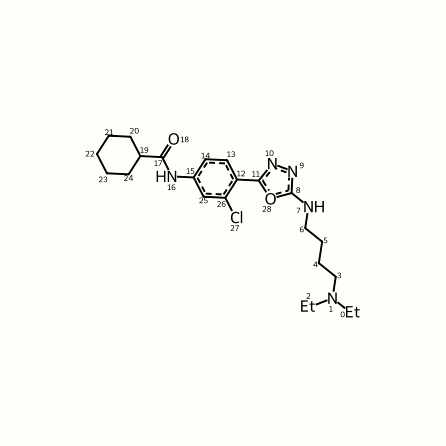 CCN(CC)CCCCNc1nnc(-c2ccc(NC(=O)C3CCCCC3)cc2Cl)o1